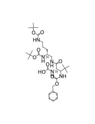 CC(C)(C)OC(=O)NCCC[C@@H](CNC(=O)[C@@H](NC(=O)O)C(NC(=O)OCc1ccccc1)C(C)(C)C)NC(=O)OC(C)(C)C